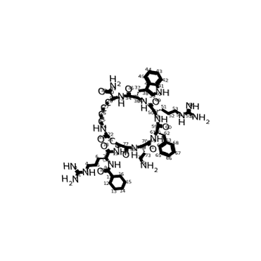 N=C(N)NCCC[C@H](NC(=O)C1CCCCC1)C(=O)N[C@H]1CC(=O)NCCCC[C@@H](C(N)=O)NC(=O)[C@H](Cc2c[nH]c3ccccc23)NC(=O)[C@H](CCCNC(=N)N)NC(=O)[C@@H](Cc2ccccc2)NC(=O)[C@H](CCN)NC1=O